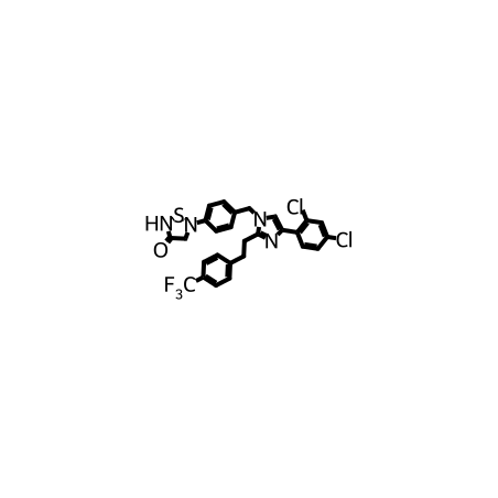 O=C1CN(c2ccc(Cn3cc(-c4ccc(Cl)cc4Cl)nc3CCc3ccc(C(F)(F)F)cc3)cc2)SN1